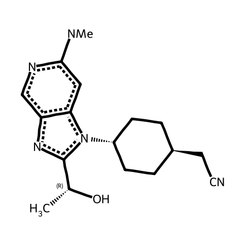 CNc1cc2c(cn1)nc([C@@H](C)O)n2[C@H]1CC[C@H](CC#N)CC1